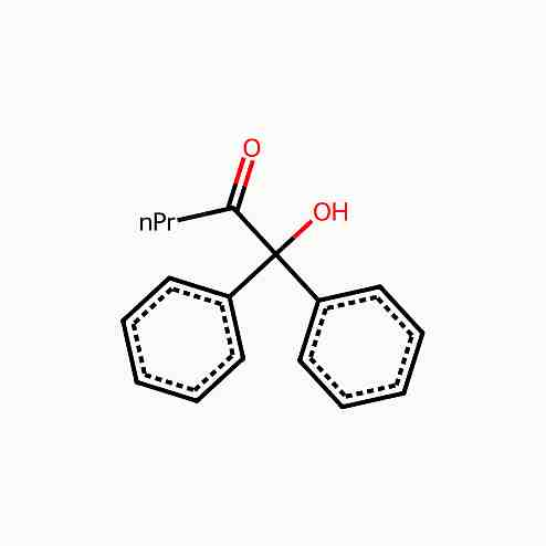 CCCC(=O)C(O)(c1ccccc1)c1ccccc1